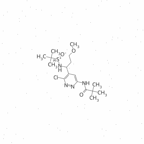 COCCC(N[S@@+]([O-])C(C)(C)C)c1cc(NC(=O)C(C)(C)C)nnc1Cl